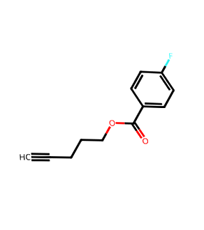 C#CCCCOC(=O)c1ccc(F)cc1